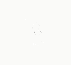 O=C(O)c1cc2ccc(O)cc2s1